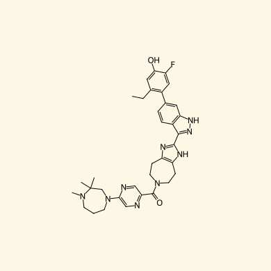 CCc1cc(O)c(F)cc1-c1ccc2c(-c3nc4c([nH]3)CCN(C(=O)c3cnc(N5CCCN(C)C(C)(C)C5)cn3)CC4)n[nH]c2c1